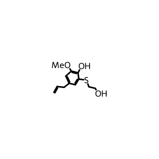 C=CCc1cc(OC)c(O)c(SCCO)c1